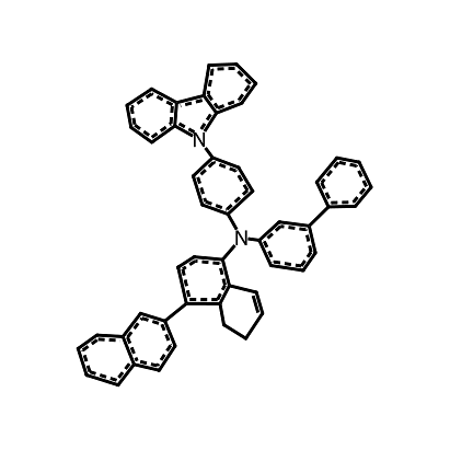 C1=Cc2c(N(c3ccc(-n4c5ccccc5c5ccccc54)cc3)c3cccc(-c4ccccc4)c3)ccc(-c3ccc4ccccc4c3)c2CC1